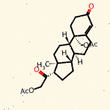 CC(=O)OCC(=O)[C@H]1CC[C@H]2[C@@H]3CCC4=CC(=O)CC[C@]4(COC(C)=O)[C@H]3CC[C@]12C